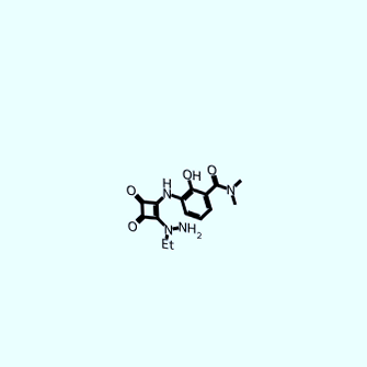 CCN(N)c1c(Nc2cccc(C(=O)N(C)C)c2O)c(=O)c1=O